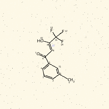 Cc1cccc(C(=O)/C=C(\O)C(F)(F)F)c1